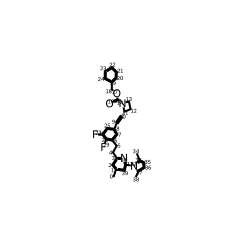 Cc1cc(CCc2cc(C#C[C@H]3CCN3C(=O)OCc3ccccc3)cc(F)c2F)nc(-n2c(C)ccc2C)c1